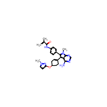 C=C(C)C(=O)Nc1ccc(-c2c(C3=CCC(Oc4ccn(C)n4)CC3)c3c(N)ncnc3n2C)cc1